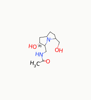 CC(=O)NCC1[C@H](O)CC2CCC(CO)N21